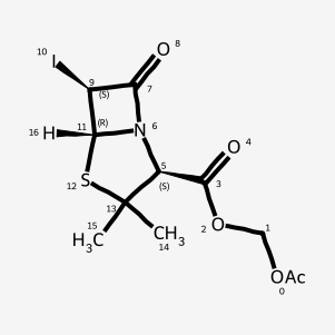 CC(=O)OCOC(=O)[C@@H]1N2C(=O)[C@H](I)[C@H]2SC1(C)C